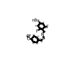 CCCCc1cc(F)c(/C=N/N=C\c2ccc(OC(F)(F)F)cc2)c(F)c1